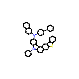 c1ccc(-c2ccc(N(c3ccc4ccccc4c3)c3ccc4c(c3)c3c5cc6c(cc5ccc3n4-c3ccccc3)sc3ccccc36)cc2)cc1